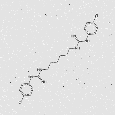 N=C(NCCCCCCNC(=N)Nc1ccc(Cl)cc1)Nc1ccc(Cl)cc1